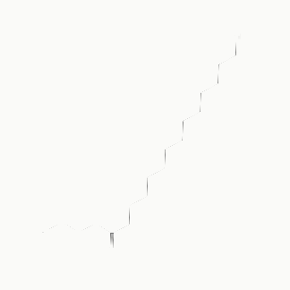 CCCCCCCCCCCCCCCCCCCCCCCC(=O)OOOC(C)(C)C